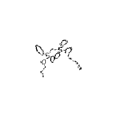 C=CCOS(=O)(=O)CS(=O)(=O)OCC=C